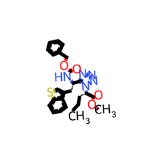 CCCC[C@@H](C(=O)OC)n1nnnc1[C@H](Cc1csc2ccccc12)NC(=O)OCc1ccccc1